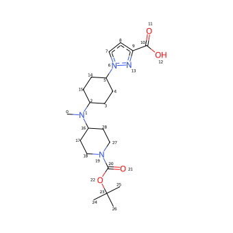 CN(C1CCC(n2ccc(C(=O)O)n2)CC1)C1CCN(C(=O)OC(C)(C)C)CC1